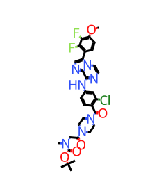 COc1ccc(-c2cnc3c(Nc4ccc(C(=O)N5CCN(C(=O)CN(C)C(=O)OC(C)(C)C)CC5)c(Cl)c4)nccn23)c(F)c1F